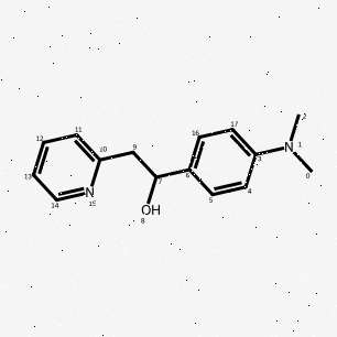 CN(C)c1ccc(C(O)Cc2ccccn2)cc1